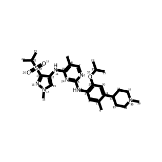 Cc1cc(Nc2ncc(C)c(Nc3cn(C)nc3S(=O)(=O)C(C)C)n2)c(OC(C)C)cc1C1CCN(C)CC1